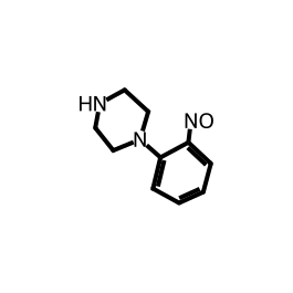 O=Nc1ccccc1N1CCNCC1